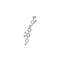 C=CC1CCC(c2ccc(-c3ccc(OCC4C=C(F)C(C5CO5)CC4)cc3)c(F)c2F)CC1